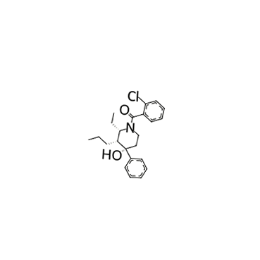 CCC[C@@H]1[C@H](CC)N(C(=O)c2ccccc2Cl)CC[C@@]1(O)c1ccccc1